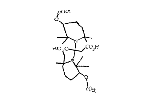 CCCCCCCCOC1CCC(C)(C)N(C(CC(=O)O)(C(=O)O)N2C(C)(C)CCC(OCCCCCCCC)C2(C)C)C1(C)C